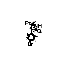 CCC1(C)CN(c2ccc(Br)cc2)C(=O)N1